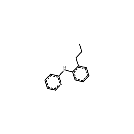 CCCc1ccccc1Nc1ccccn1